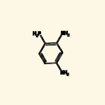 Nc1ccc(P)c(N)c1